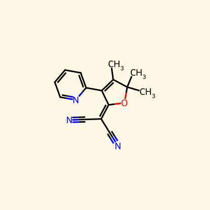 CC1=C(c2ccccn2)C(=C(C#N)C#N)OC1(C)C